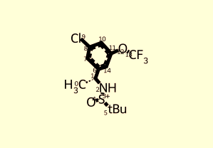 C[C@@H](N[S+]([O-])C(C)(C)C)c1cc(Cl)cc(OC(F)(F)F)c1